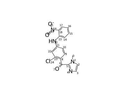 Cn1ccnc1C(=O)c1ccc(Nc2ccccc2[N+](=O)[O-])cc1Cl